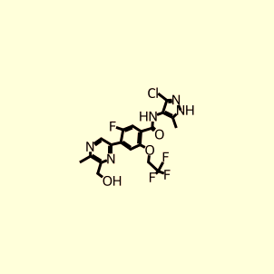 Cc1ncc(-c2cc(OCC(F)(F)F)c(C(=O)Nc3c(Cl)n[nH]c3C)cc2F)nc1CO